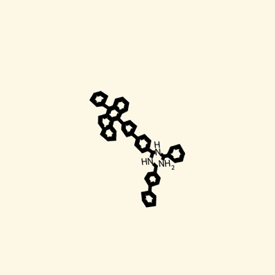 NC(NC(NCc1ccc(-c2ccccc2)cc1)c1ccc(-c2ccc(-c3c4ccccc4c(-c4ccccc4)c4ccc5ccccc5c34)cc2)cc1)c1ccccc1